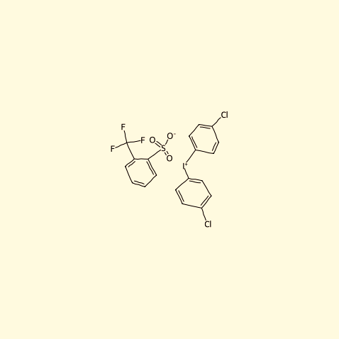 Clc1ccc([I+]c2ccc(Cl)cc2)cc1.O=S(=O)([O-])c1ccccc1C(F)(F)F